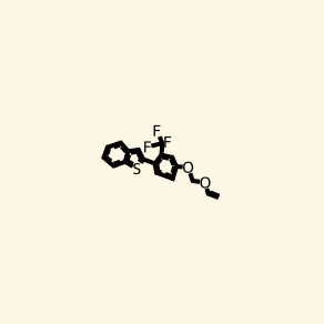 C=COCOc1ccc(-c2cc3ccccc3s2)c(C(F)(F)F)c1